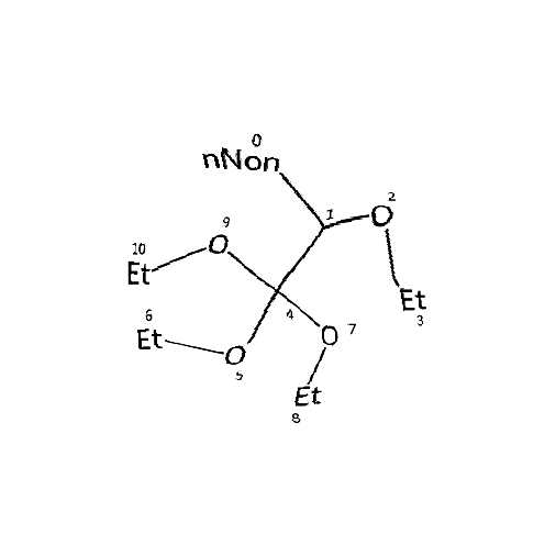 CCCCCCCCCC(OCC)C(OCC)(OCC)OCC